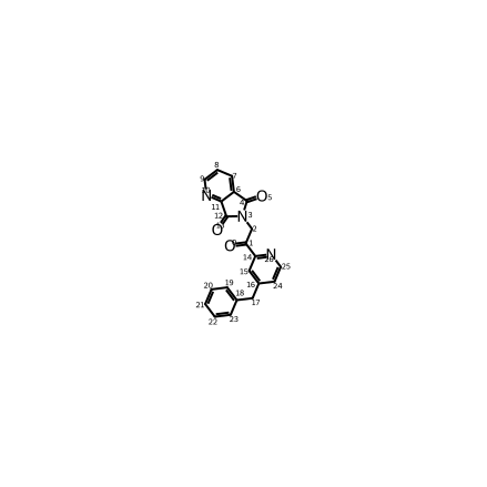 O=C(CN1C(=O)c2cccnc2C1=O)c1cc(Cc2ccccc2)ccn1